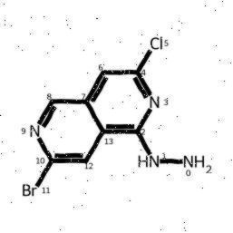 NNc1nc(Cl)cc2cnc(Br)cc12